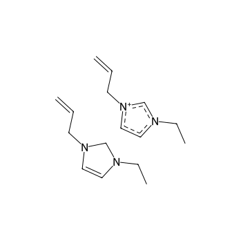 C=CCN1C=CN(CC)C1.C=CC[n+]1ccn(CC)c1